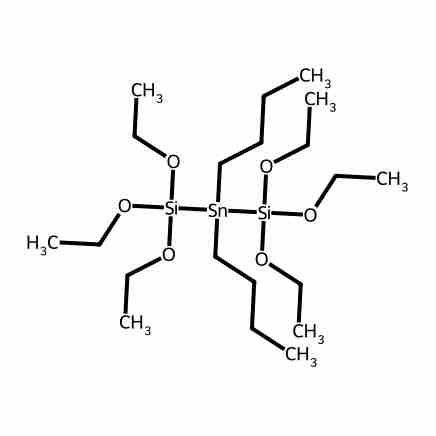 CCC[CH2][Sn]([CH2]CCC)([Si](OCC)(OCC)OCC)[Si](OCC)(OCC)OCC